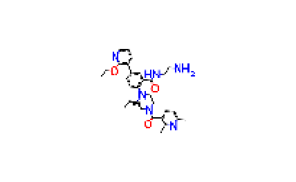 CCOc1ncccc1-c1ccc(N2CCN(C(=O)c3ccc(C)nc3C)C[C@H]2CC)c(C(=O)NCCN)c1